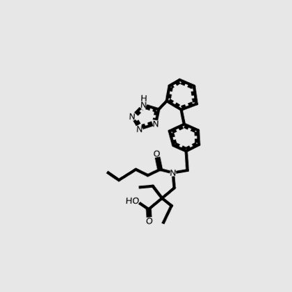 CCCCC(=O)N(Cc1ccc(-c2ccccc2-c2nnn[nH]2)cc1)CC(CC)(CC)C(=O)O